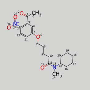 CC(=O)c1cc(OCCCCC(=O)N(C)C2CCCCC2)ccc1[N+](=O)[O-]